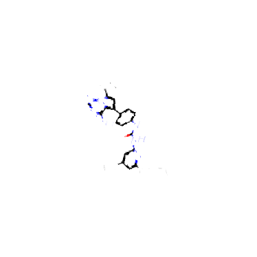 CCOC(=O)c1cc(C(F)(F)F)cc(NC(=O)Nc2ccc(-c3cc(C#N)n4ncnc(N)c34)cc2)n1